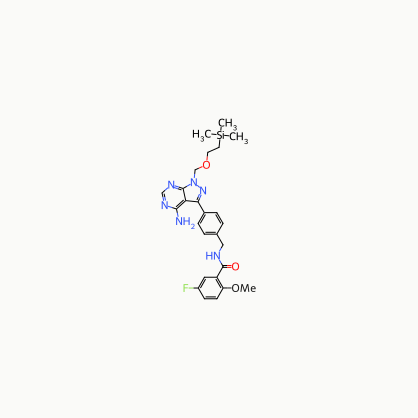 COc1ccc(F)cc1C(=O)NCc1ccc(-c2nn(COCC[Si](C)(C)C)c3ncnc(N)c23)cc1